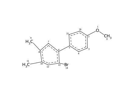 COc1ccc(-c2cc(C)c(C)cc2Br)cc1